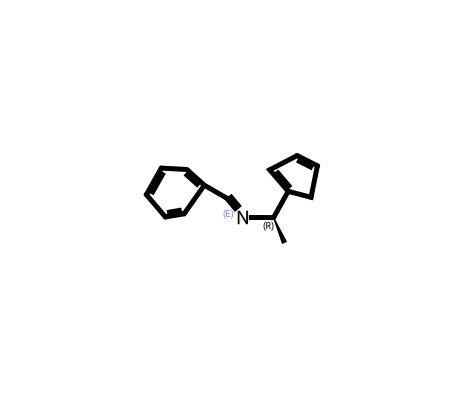 C[C@@H](/N=C/c1ccccc1)C1=CC=CC1